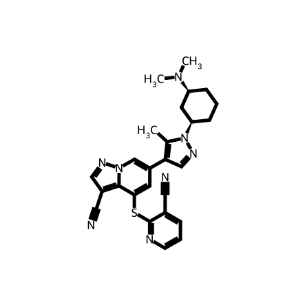 Cc1c(-c2cc(Sc3ncccc3C#N)c3c(C#N)cnn3c2)cnn1[C@@H]1CCC[C@H](N(C)C)C1